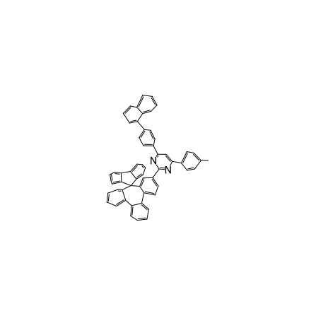 Cc1ccc(-c2cc(-c3ccc(-c4cccc5ccccc45)cc3)nc(-c3ccc4c(c3)C3(c5ccccc5-c5ccccc5-4)c4ccccc4-c4ccccc43)n2)cc1